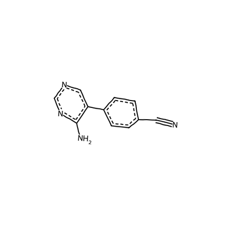 N#Cc1ccc(-c2cncnc2N)cc1